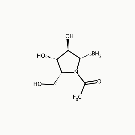 B[C@H]1[C@H](O)[C@@H](O)[C@@H](CO)N1C(=O)C(F)(F)F